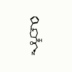 N#CCC(=O)NC1CCN(Cc2ccccc2)CC1